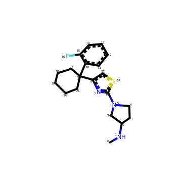 CNC1CCN(c2nc(C3(c4ccccc4F)CCCCC3)cs2)C1